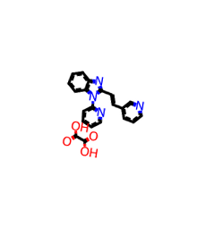 C(=C\c1nc2ccccc2n1-c1ccccn1)/c1cccnc1.O=C(O)C(=O)O